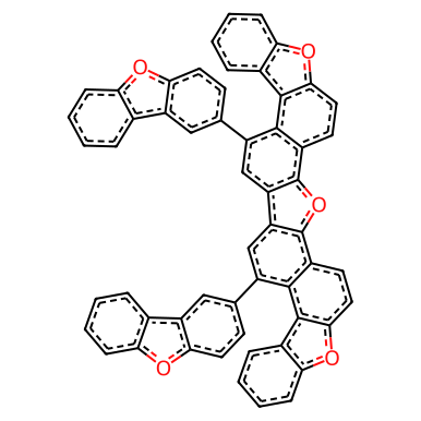 c1ccc2c(c1)oc1ccc(-c3cc4c5cc(-c6ccc7oc8ccccc8c7c6)c6c(ccc7oc8ccccc8c76)c5oc4c4ccc5oc6ccccc6c5c34)cc12